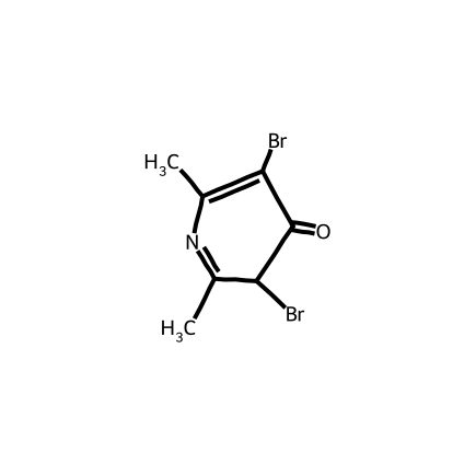 CC1=NC(C)=C(Br)C(=O)C1Br